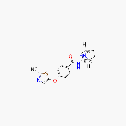 N#Cc1ncc(Oc2ccc(C(=O)N[C@@H]3C[C@H]4CC[C@@H]3N4)cc2)s1